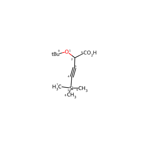 CC(C)(C)OC(C#C[Si](C)(C)C)C(=O)O